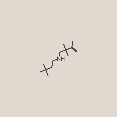 C=C(C)C(C)(C)CNCCC(C)(C)C